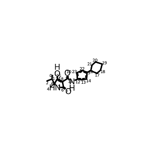 CC(C)[C@@]1(C)NC(=O)C(C(=O)Nc2ccc(C3CCCCC3)cc2)=C1O